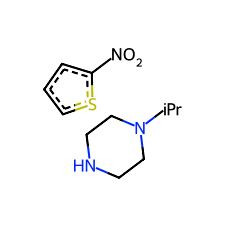 CC(C)N1CCNCC1.O=[N+]([O-])c1cccs1